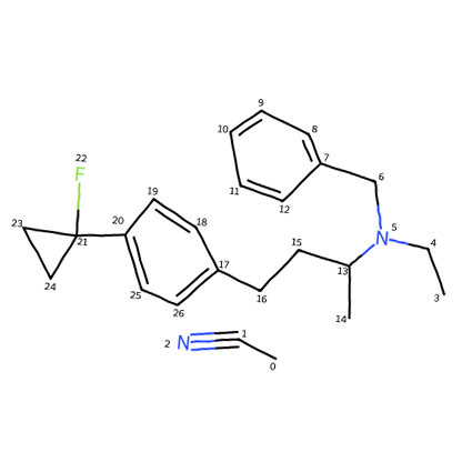 CC#N.CCN(Cc1ccccc1)C(C)CCc1ccc(C2(F)CC2)cc1